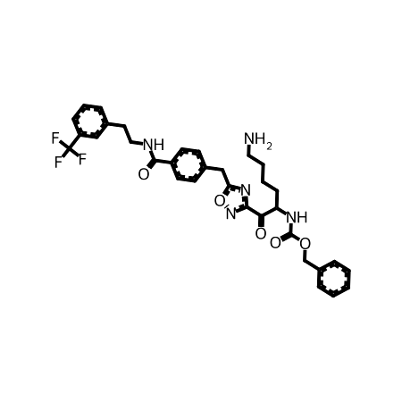 NCCCCC(NC(=O)OCc1ccccc1)C(=O)c1noc(Cc2ccc(C(=O)NCCc3cccc(C(F)(F)F)c3)cc2)n1